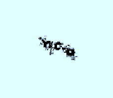 Cn1c(N2CCC[C@@H](Nc3ncc(C(F)(F)F)cn3)C2)nc2cc(Br)ccc21